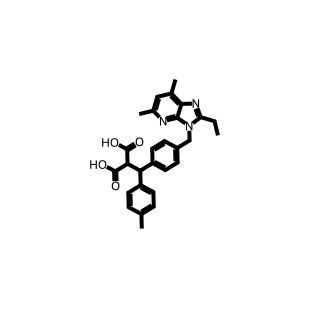 CCc1nc2c(C)cc(C)nc2n1Cc1ccc(C(c2ccc(C)cc2)C(C(=O)O)C(=O)O)cc1